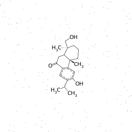 CC(C)c1cc2c(cc1O)[C@@]1(C)CCC[C@](C)(CO)C1CC2=O